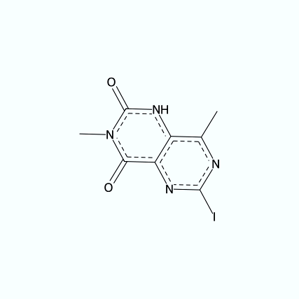 Cc1nc(I)nc2c(=O)n(C)c(=O)[nH]c12